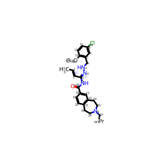 C/C=C/C(=N\NCc1cc(Cl)ccc1OCC(C)C)NC(=O)c1ccc2c(c1)CCN(CC(C)C)CC2